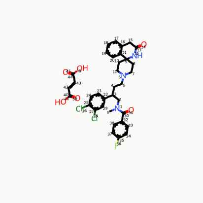 CN(CC(CCN1CCC2(CC1)NC(=O)Cc1ccccc12)c1ccc(Cl)c(Cl)c1)C(=O)c1ccc(F)cc1.O=C(O)/C=C/C(=O)O